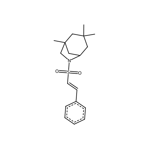 CC1(C)CC2CC(C)(CN2S(=O)(=O)/C=C/c2ccccc2)C1